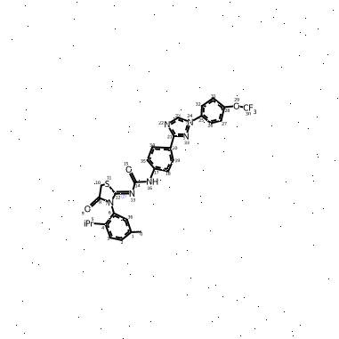 Cc1ccc(C(C)C)c(N2C(=O)CS/C2=N\C(=O)Nc2ccc(-c3ncn(-c4ccc(OC(F)(F)F)cc4)n3)cc2)c1